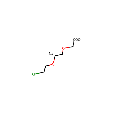 O=C([O-])COCCOCCCl.[Na+]